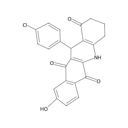 O=C1CCCC2=C1C(c1ccc(Cl)cc1)C1=C(N2)C(=O)c2ccc(O)cc2C1=O